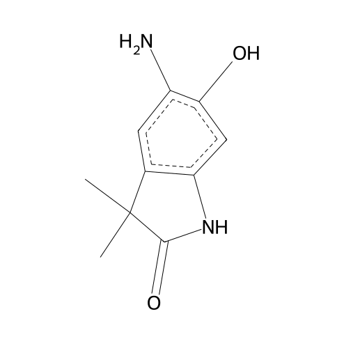 CC1(C)C(=O)Nc2cc(O)c(N)cc21